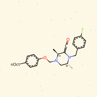 CCCCCCCCc1ccc(OCN2C[C@@H](C)N(Cc3ccc(F)cc3)C(=C=O)[C@@H]2C)cc1